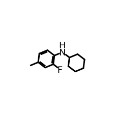 Cc1ccc(NC2CCCCC2)c(F)c1